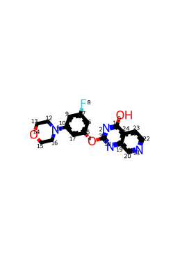 Oc1nc(Oc2cc(F)cc(N3CCOCC3)c2)nc2cnccc12